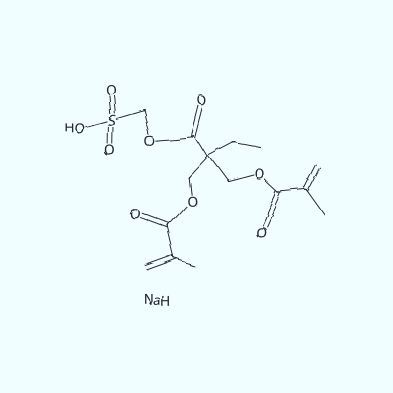 C=C(C)C(=O)OCC(CC)(COC(=O)C(=C)C)C(=O)OCS(=O)(=O)O.[NaH]